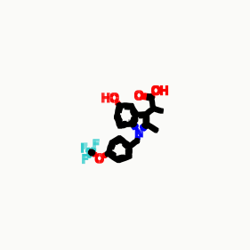 Cc1c(C(C)C(=O)O)c2cc(O)ccc2n1Cc1ccc(OC(F)(F)F)cc1